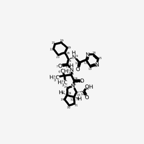 CC(C)(C)C(NC(=O)[C@@H](NC(=O)c1cnccn1)C1CCCCC1)C(=O)N1C[C@@H]2CCC[C@@H]2[C@H]1C(=O)O